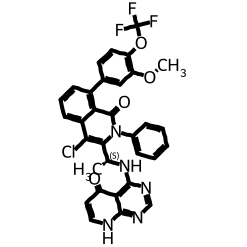 COc1cc(-c2cccc3c(Cl)c([C@H](C)Nc4ncnc5[nH]ccc(=O)c45)n(-c4ccccc4)c(=O)c23)ccc1OC(F)(F)F